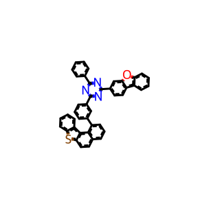 c1ccc(-c2nc(-c3cccc(-c4cccc5ccc6sc7ccccc7c6c45)c3)nc(-c3ccc4c(c3)oc3ccccc34)n2)cc1